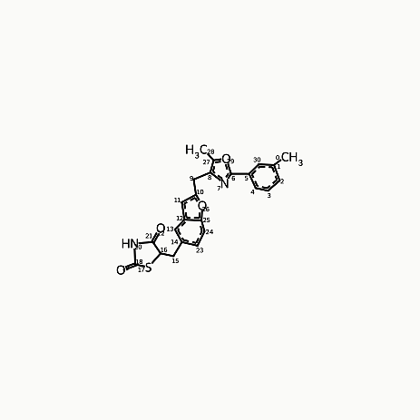 Cc1cccc(-c2nc(Cc3cc4cc(CC5SC(=O)NC5=O)ccc4o3)c(C)o2)c1